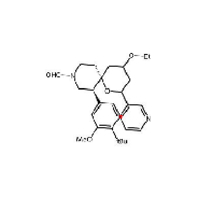 CCOC1CC(c2cccnc2)O[C@]2(CCN(C=O)C[C@@H]2c2ccc(C(C)(C)C)c(OC)c2)C1